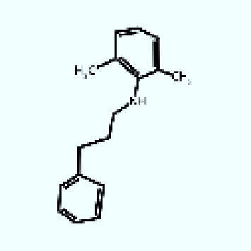 Cc1cccc(C)c1NC[CH]Cc1ccccc1